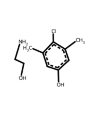 Cc1cc(O)cc(C)c1Cl.NCCO